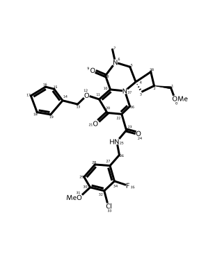 COC[C@H]1C[C@]2(CN(C)C(=O)c3c(OCc4ccccc4)c(=O)c(C(=O)NCc4ccc(OC)c(Cl)c4F)cn32)C1